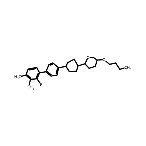 CCCCOC1CCC(C2CCC(c3ccc(-c4ccc(C)c(C)c4F)cc3)CC2)OC1